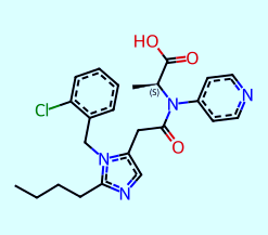 CCCCc1ncc(CC(=O)N(c2ccncc2)[C@@H](C)C(=O)O)n1Cc1ccccc1Cl